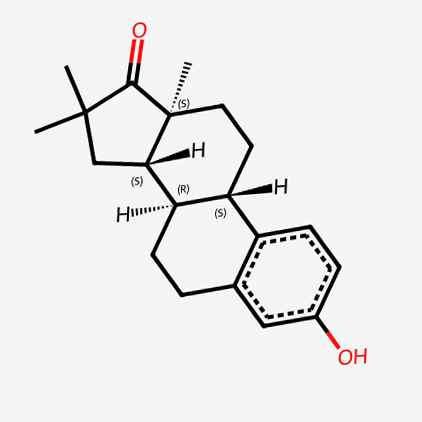 CC1(C)C[C@H]2[C@@H]3CCc4cc(O)ccc4[C@H]3CC[C@]2(C)C1=O